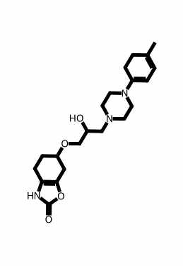 CC1=CC=C(N2CCN(CC(O)COC3CCc4[nH]c(=O)oc4C3)CC2)CC1